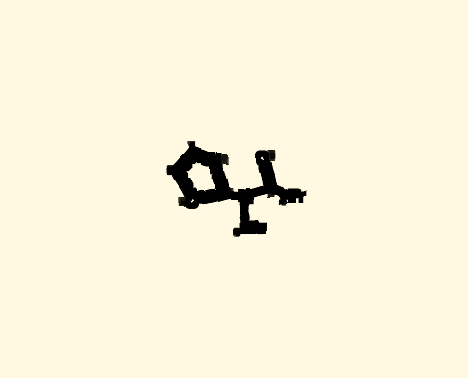 CCCCN(C(=O)C(C)C)c1ncco1